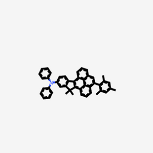 Cc1cc(C)c(-c2cc3cccc4c5c(c6cccc2c6c34)C(C)(C)c2cc(N(c3ccccc3)c3ccccc3)ccc2-5)c(C)c1